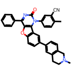 Cc1ccc(-n2c(=O)nc(-c3ccccc3)c3oc4ccc(-c5ccc6c(c5)CCN(C)C6)cc4c32)cc1C#N